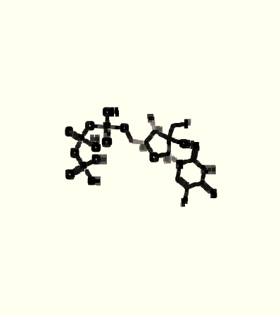 O=P(O)(O)OP(=O)(O)OP(=O)(O)OC[C@H]1O[C@@H](n2cc(F)c(=S)[nH]c2=S)C(O)(CF)[C@H]1F